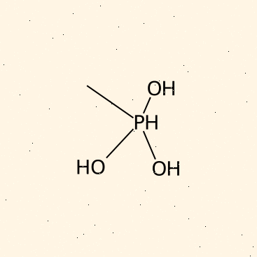 C[PH](O)(O)O